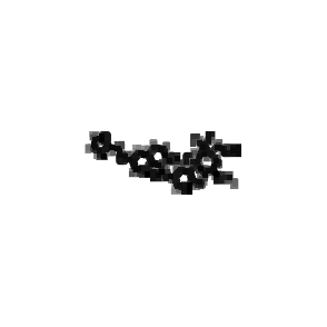 C[C@]1(c2cc(Nc3nccc4cc(OCc5ncco5)cnc34)cnc2F)N=C(N)S[C@]2(CO)C1C2(F)F